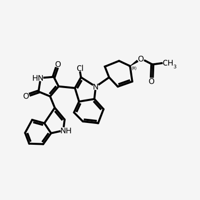 CC(=O)O[C@H]1C=CC(n2c(Cl)c(C3=C(c4c[nH]c5ccccc45)C(=O)NC3=O)c3ccccc32)CC1